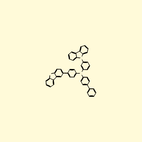 c1ccc(-c2ccc(N(c3ccc(-c4ccc5oc6ccccc6c5c4)cc3)c3cccc(-n4c5ccccc5c5ccccc54)c3)cc2)cc1